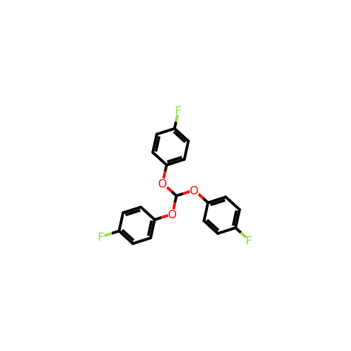 Fc1ccc(OC(Oc2ccc(F)cc2)Oc2ccc(F)cc2)cc1